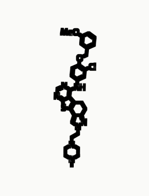 COc1cccc(COc2ccc(Nc3ncnc4sc5c(c34)CCc3nn(CCN4CCN(C)CC4)cc3-5)cc2Cl)c1